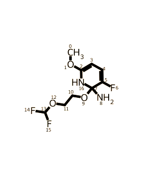 COC1=CC=C(F)C(N)(OCCOC(F)F)N1